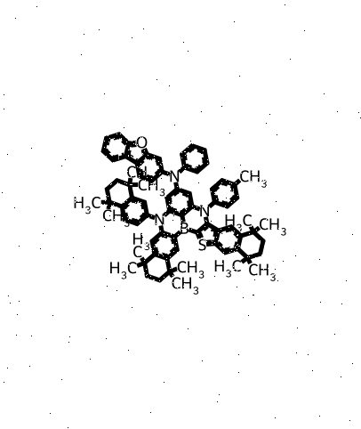 Cc1ccc(N2c3cc(N(c4ccccc4)c4ccc5c(c4)oc4ccccc45)cc4c3B(c3cc5c(cc3N4c3ccc4c(c3)C(C)(C)CCC4(C)C)C(C)(C)CCC5(C)C)c3sc4cc5c(cc4c32)C(C)(C)CCC5(C)C)cc1